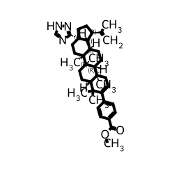 C=C(C)[C@@H]1CC[C@]2(c3nc[nH]n3)CC[C@]3(C)[C@H](CC[C@@H]4[C@@]5(C)CC=C(c6ccc(C(=O)OC)cc6)C(C)(C)[C@@H]5CC[C@]43C)[C@@H]12